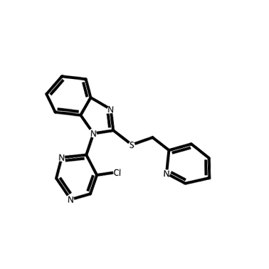 Clc1cncnc1-n1c(SCc2ccccn2)nc2ccccc21